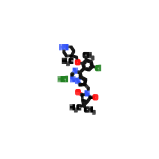 Cc1cc(Cl)cc(-c2ncnn3cc(CN4C(=O)C5C(C4=O)C5(C)C)cc23)c1OCC1(C)CCNCC1.Cl